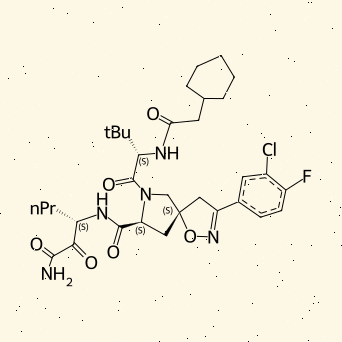 CCC[C@H](NC(=O)[C@@H]1C[C@]2(CC(c3ccc(F)c(Cl)c3)=NO2)CN1C(=O)[C@@H](NC(=O)CC1CCCCC1)C(C)(C)C)C(=O)C(N)=O